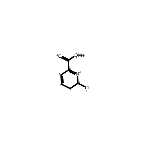 COC(=O)C1=NC(Cl)CC=C1